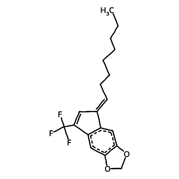 CCCCCCC/C=C1\C=C(C(F)(F)F)c2cc3c(cc21)OCO3